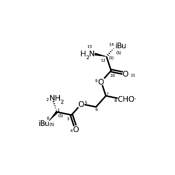 CC[C@H](C)[C@H](N)C(=O)OCC([C]=O)OC(=O)[C@@H](N)[C@@H](C)CC